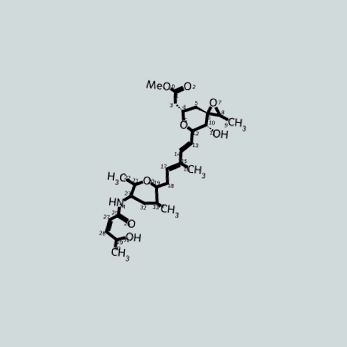 COC(=O)C[C@@H]1C[C@]2(OC2C)[C@H](O)C(/C=C/C(C)=C/CC2OC(C)C(NC(=O)/C=C\C(C)O)CC2C)O1